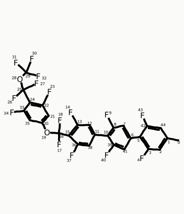 Cc1cc(F)c(-c2cc(F)c(-c3cc(F)c(C(F)(F)Oc4cc(F)c(C(F)(F)OC(F)(F)F)c(F)c4)c(F)c3)c(F)c2)c(F)c1